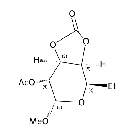 CC[C@H]1O[C@H](OC)[C@H](OC(C)=O)[C@H]2OC(=O)O[C@H]21